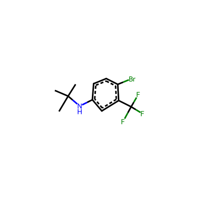 CC(C)(C)Nc1ccc(Br)c(C(F)(F)F)c1